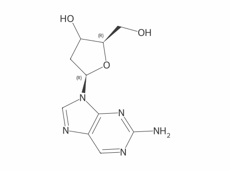 Nc1ncc2ncn([C@H]3CC(O)[C@@H](CO)O3)c2n1